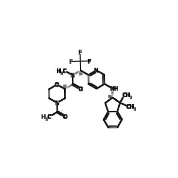 CC(=O)N1CCO[C@H](C(=O)N(C)[C@@H](c2ccc(N[C@H]3Cc4ccccc4C3(C)C)cn2)C(F)(F)F)C1